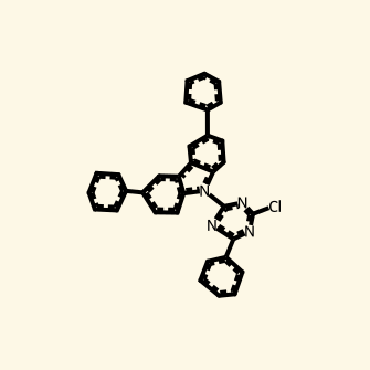 Clc1nc(-c2ccccc2)nc(-n2c3ccc(-c4ccccc4)cc3c3cc(-c4ccccc4)ccc32)n1